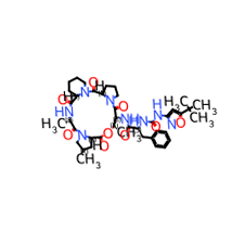 C[C@@H]1C[C@H]2C(=O)O[C@@H](C)[C@H](NC(=O)[C@H](Cc3ccccc3)NC(=O)Nc3cc(C(C)(C)C)on3)C(=O)N3CCC[C@H]3C(=O)N3CCCC[C@H]3C(=O)N[C@@H](C)C(=O)N2C1